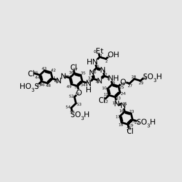 CCC(CO)Nc1nc(Nc2cc(Cl)c(N=Nc3ccc(Cl)c(S(=O)(=O)O)c3)cc2OCCCS(=O)(=O)O)nc(Nc2cc(Cl)c(N=Nc3ccc(Cl)c(S(=O)(=O)O)c3)cc2OCCCS(=O)(=O)O)n1